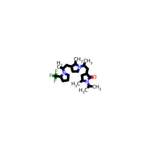 CC(CC1CC(C)N(C(C)C)C1=O)N1CCC(CC(C)N2CCCC2C(F)(F)F)C1C